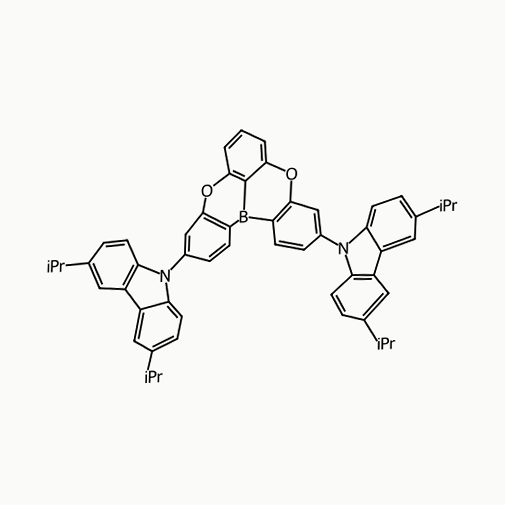 CC(C)c1ccc2c(c1)c1cc(C(C)C)ccc1n2-c1ccc2c(c1)Oc1cccc3c1B2c1ccc(-n2c4ccc(C(C)C)cc4c4cc(C(C)C)ccc42)cc1O3